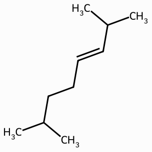 CC(C)C=CCCC(C)C